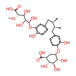 CO[C@H](C(=O)O)[C@@H](O)[C@H](O)[C@@H](O)Oc1cc(C[C@@H](C)[C@@H](C)Cc2ccc(O[C@@H]3C[C@H](C(=O)O)[C@@H](O)[C@H](O)[C@H]3O)c(O)c2)ccc1O